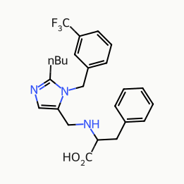 CCCCc1ncc(CNC(Cc2ccccc2)C(=O)O)n1Cc1cccc(C(F)(F)F)c1